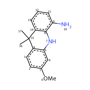 COc1ccc2c(c1)Nc1c(N)cccc1C2(C)C